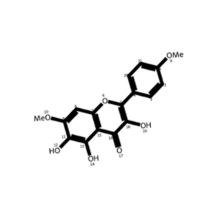 COc1ccc(-c2oc3cc(OC)c(O)c(O)c3c(=O)c2O)cc1